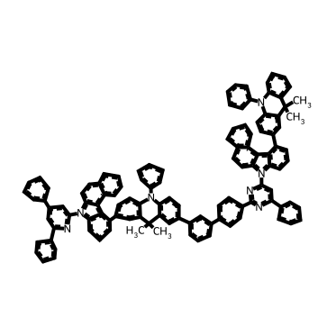 CC1(C)c2cc(-c3cccc(-c4ccc(-c5nc(-c6ccccc6)cc(-n6c7cccc(-c8ccc9c(c8)C(C)(C)c8ccccc8N9c8ccccc8)c7c7c8ccccc8ccc76)n5)cc4)c3)ccc2N(c2ccccc2)c2ccc(-c3cccc4c3c3c5ccccc5ccc3n4-c3cc(-c4ccccc4)cc(-c4ccccc4)n3)cc21